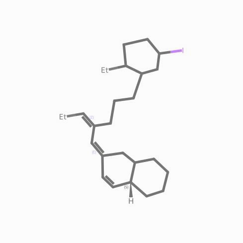 CC/C=C(\C=C1\C=C[C@H]2CCCCC2C1)CCCC1CC(I)CCC1CC